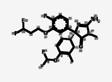 CC1=C(OC(F)F)C=CC([C@]2(c3ccc(F)c(OCCC(F)F)c3)N=C(N)N(C)C2=O)C1